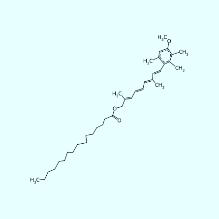 CCCCCCCCCCCCCCCC(=O)OC/C(C)=C/C=C/C=C(C)/C=C/c1c(C)cc(OC)c(C)c1C